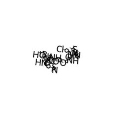 Cc1ncsc1-c1ccc([C@H](C)NC(=O)[C@@H]2C[C@@H](O)CN2C(=O)[C@@H](NC(=O)[C@H]2Cc3ccc(O[C@H]4C[C@@H](NC(=O)C[C@@H]5N=C(c6ccc(Cl)cc6)c6c(sc(C)c6C)-n6c(C)nnc65)C4)cc3O2)C(C)(C)C)cc1